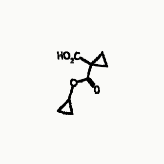 O=C(O)C1(C(=O)OC2CC2)CC1